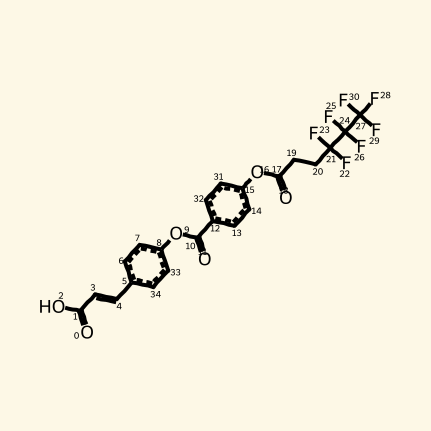 O=C(O)C=Cc1ccc(OC(=O)c2ccc(OC(=O)CCC(F)(F)C(F)(F)C(F)(F)F)cc2)cc1